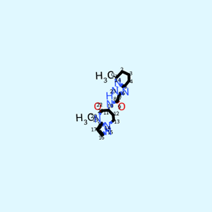 C[C@@H]1CCCc2nc(C(=O)N[C@H]3CCn4nccc4N(C)C3=O)nn21